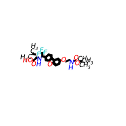 CC(C)C[C@H](N[C@@H](c1ccc2c(c1)oc1ccc(OCCNC(=O)OC(C)(C)C)cc12)C(F)(F)F)C(=O)O